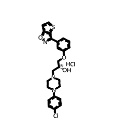 Cl.O[C@@H](COc1cccc(-c2noc3ccsc23)c1)CN1CCN(c2ccc(Cl)cc2)CC1